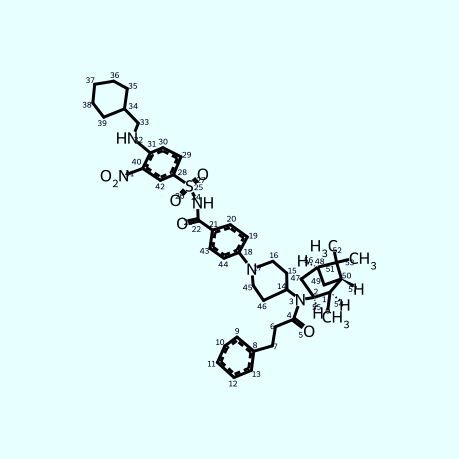 C[C@H]1[C@@H](N(C(=O)CCc2ccccc2)C2CCN(c3ccc(C(=O)NS(=O)(=O)c4ccc(NCC5CCCCC5)c([N+](=O)[O-])c4)cc3)CC2)C[C@@H]2C[C@@H]1C2(C)C